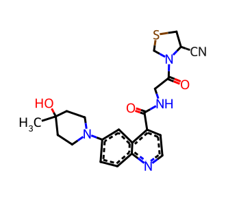 CC1(O)CCN(c2ccc3nccc(C(=O)NCC(=O)N4CSCC4C#N)c3c2)CC1